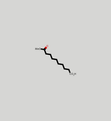 COC(=O)CCCCCCCCC(=O)O